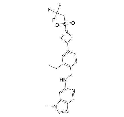 CCc1cc(C2CN(S(=O)(=O)CC(F)(F)F)C2)ccc1CNc1cc2c(cn1)ncn2C